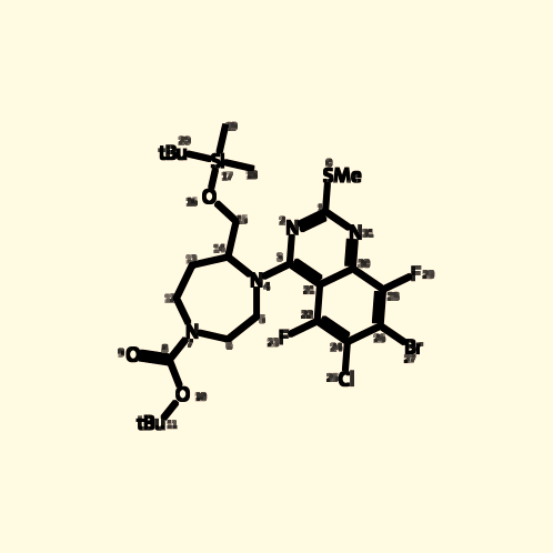 CSc1nc(N2CCN(C(=O)OC(C)(C)C)CCC2CO[Si](C)(C)C(C)(C)C)c2c(F)c(Cl)c(Br)c(F)c2n1